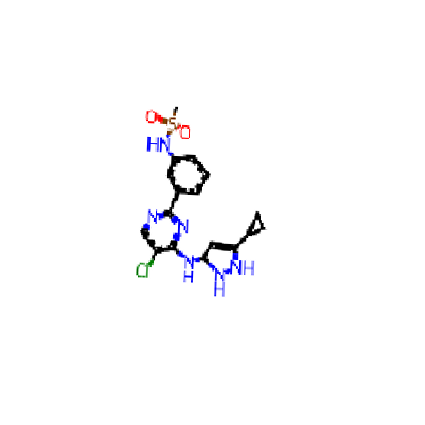 CS(=O)(=O)Nc1cccc(-c2ncc(Cl)c(NC3C=C(C4CC4)NN3)n2)c1